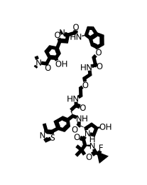 Cc1ncsc1-c1ccc([C@H](CC(=O)NCCOCCNC(=O)COc2ccc3c(c2)[C@H](NC(=O)c2cc(-c4ccc(C(=O)N(C)C)c(O)c4)on2)CC3)NC(=O)[C@@H]2C[C@@H](O)CN2C(=O)[C@@H](NC(=O)C2(F)CC2)C(C)(C)C)cc1